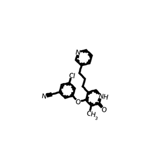 Cc1c(Oc2cc(Cl)cc(C#N)c2)c(CCCc2cccnc2)c[nH]c1=O